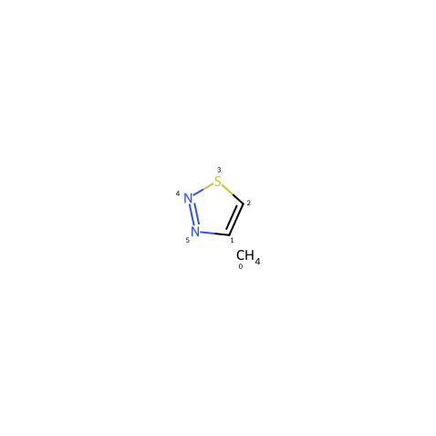 C.c1csnn1